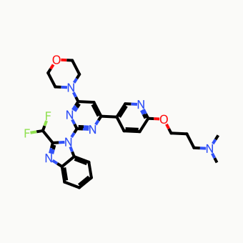 CN(C)CCCOc1ccc(-c2cc(N3CCOCC3)nc(-n3c(C(F)F)nc4ccccc43)n2)cn1